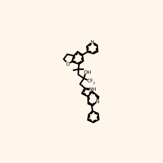 CC(C)(CC(O)(Cc1cc2cc(-c3ccccc3)ncc2[nH]1)C(F)(F)F)c1cc(-c2cccnc2)cc2c1OCC2